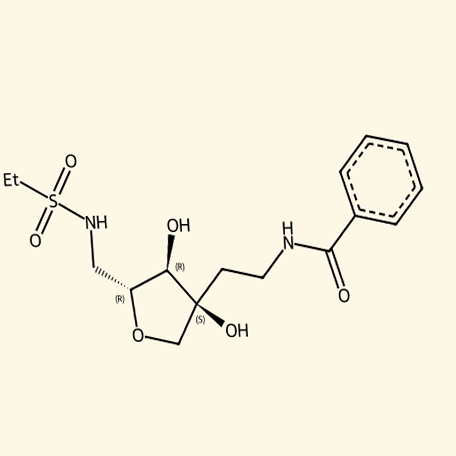 CCS(=O)(=O)NC[C@H]1OC[C@@](O)(CCNC(=O)c2ccccc2)[C@@H]1O